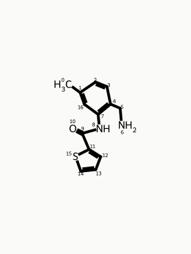 Cc1ccc(CN)c(NC(=O)c2cccs2)c1